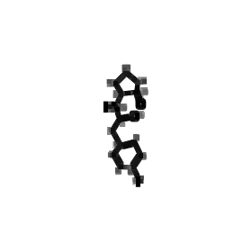 O=C(Cc1ccc(F)cc1)NC1CCCC1=O